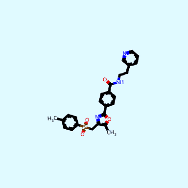 Cc1ccc(S(=O)(=O)Cc2nc(-c3ccc(C(=O)NCCc4cccnc4)cc3)oc2C)cc1